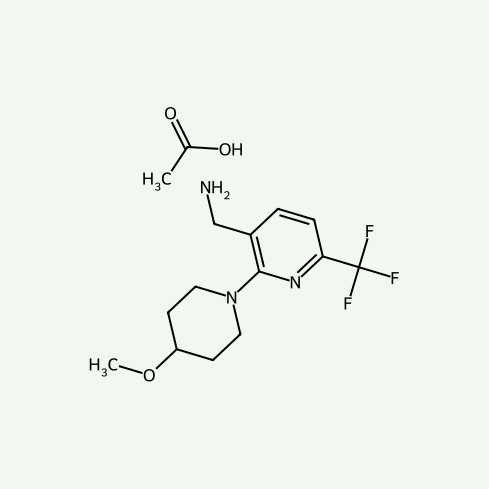 CC(=O)O.COC1CCN(c2nc(C(F)(F)F)ccc2CN)CC1